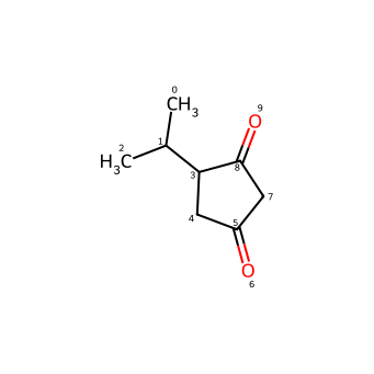 CC(C)C1CC(=O)CC1=O